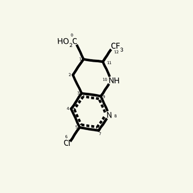 O=C(O)C1Cc2cc(Cl)cnc2NC1C(F)(F)F